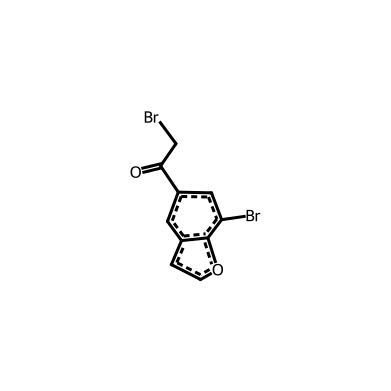 O=C(CBr)c1cc(Br)c2occc2c1